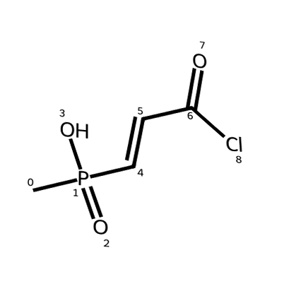 CP(=O)(O)C=CC(=O)Cl